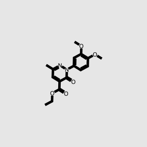 CCOC(=O)c1cc(C)nn(-c2ccc(OC)c(OC)c2)c1=O